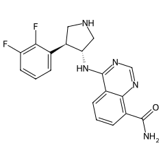 NC(=O)c1cccc2c(N[C@H]3CNC[C@@H]3c3cccc(F)c3F)ncnc12